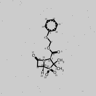 CC1(C)[C@H](C(=O)OCSc2ccccc2)N2C(=O)C[C@H]2S1(=O)=O